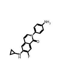 Nc1ccc(-n2ccc3cc(NC4CC4)c(F)cc3c2=O)cc1